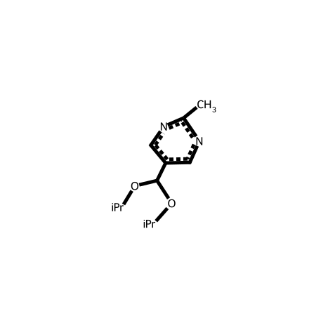 Cc1ncc(C(OC(C)C)OC(C)C)cn1